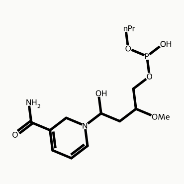 CCCOP(O)OCC(CC(O)N1C=CC=C(C(N)=O)C1)OC